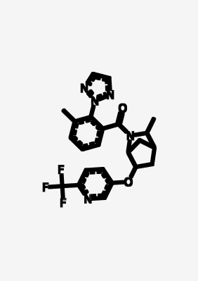 Cc1cccc(C(=O)N2C(C)C3CC(Oc4ccc(C(F)(F)F)nc4)C2C3)c1-n1nccn1